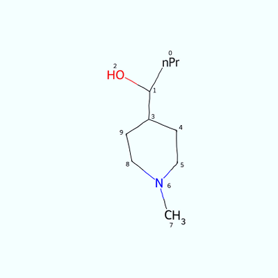 CCCC(O)C1CCN(C)CC1